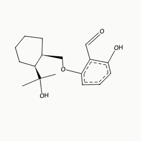 CC(C)(O)[C@H]1CCCC[C@H]1COc1cccc(O)c1C=O